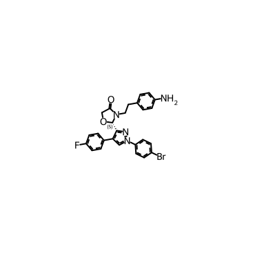 Nc1ccc(CCN2C(=O)CO[C@H]2c2nn(-c3ccc(Br)cc3)cc2-c2ccc(F)cc2)cc1